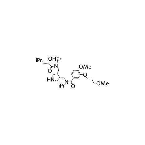 COCCCOc1cc(C(=O)N(C[C@@H]2CNC[C@H]2CN(C(=O)[C@@H](O)CC(C)C)C2CC2)C(C)C)ccc1OC